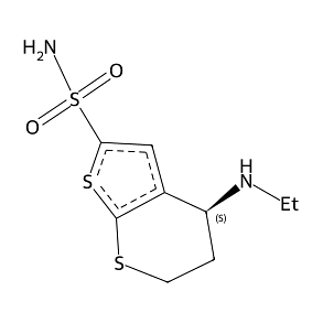 CCN[C@H]1CCSc2sc(S(N)(=O)=O)cc21